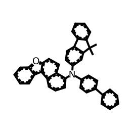 CC1(C)c2ccccc2-c2ccc(N(c3ccc(-c4ccccc4)cc3)c3cccc4c3ccc3oc5ccccc5c34)cc21